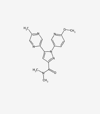 COc1ccc(-n2nc(C(=O)N(C)C)cc2-c2cnc(C)cn2)cn1